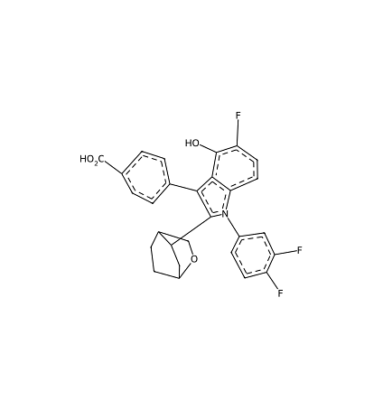 O=C(O)c1ccc(-c2c(C3CC4CCC3CO4)n(-c3ccc(F)c(F)c3)c3ccc(F)c(O)c23)cc1